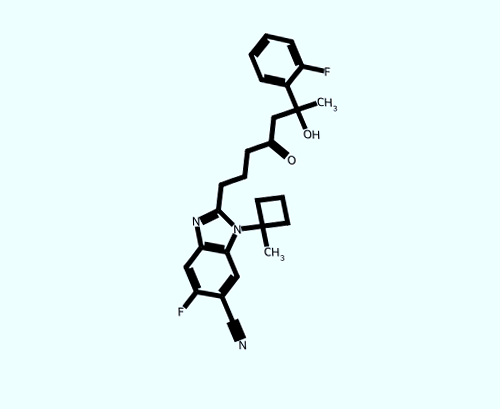 CC(O)(CC(=O)CCCc1nc2cc(F)c(C#N)cc2n1C1(C)CCC1)c1ccccc1F